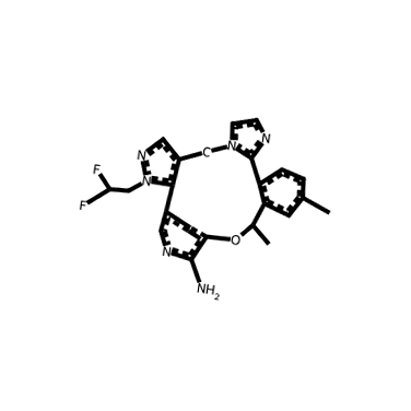 Cc1ccc2c(c1)C(C)Oc1cc(cnc1N)-c1c(cnn1CC(F)F)Cn1ccnc1-2